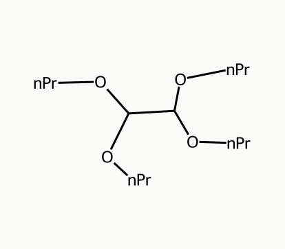 CCCOC(OCCC)C(OCCC)OCCC